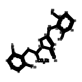 CCOC(=O)C(Cc1c(F)cccc1F)N1CC(Oc2c(F)cccc2F)=CC1=O